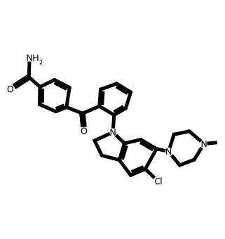 CN1CCN(c2cc3c(cc2Cl)CCN3c2ccccc2C(=O)c2ccc(C(N)=O)cc2)CC1